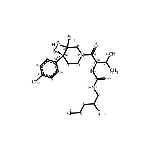 CC(CCCl)CNC(=O)N[C@@H](C(=O)N1CC[C@](O)(c2ccc(Cl)cc2)C(C)(C)C1)C(C)C